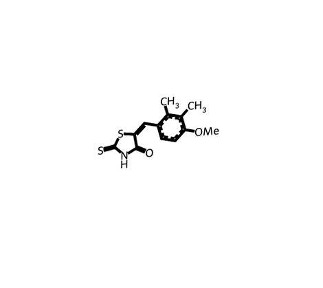 COc1ccc(C=C2SC(=S)NC2=O)c(C)c1C